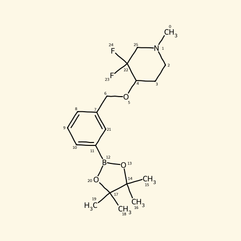 CN1CCC(OCc2cccc(B3OC(C)(C)C(C)(C)O3)c2)C(F)(F)C1